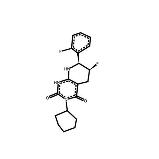 O=c1[nH]c2c(c(=O)n1C1CCCCC1)C[C@H](F)[C@H](c1ccccc1F)N2